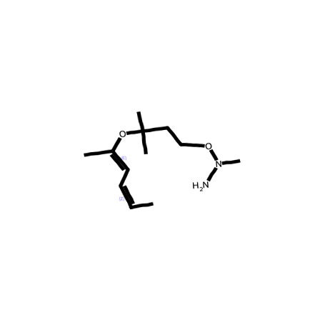 C/C=C\C=C(/C)OC(C)(C)CCON(C)N